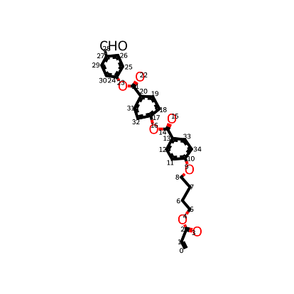 C=CC(=O)OCCCCOc1ccc(C(=O)Oc2ccc(C(=O)Oc3ccc(C=O)cc3)cc2)cc1